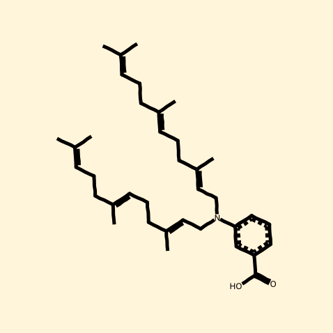 CC(C)=CCC/C(C)=C/CC/C(C)=C/CN(C/C=C(\C)CC/C=C(\C)CCC=C(C)C)c1cccc(C(=O)O)c1